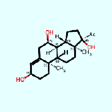 CC(=O)[C@@]1(O)CC[C@H]2[C@@H]3[C@H](O)CC4=C[C@H](O)CC[C@]4(C)[C@H]3CC[C@@]21C